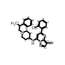 CC(CN1CCC(Nc2cc(-c3ccccc3Cl)nc3c(Br)cnn23)CC1)c1ccccc1